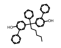 CCCCCC(c1ccccc1)(c1ccc(O)c(-c2ccccc2)c1)c1ccc(O)c(-c2ccccc2)c1